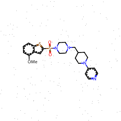 COc1cccc2sc(S(=O)(=O)N3CCN(CC4CCN(c5ccncc5)CC4)CC3)cc12